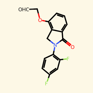 O=CCOc1cccc2c1CN(c1ccc(F)cc1F)C2=O